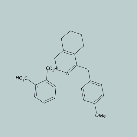 COc1ccc(CC2=NCCC3=C2CCCC3)cc1.O=C(O)c1ccccc1C(=O)O